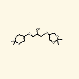 CC1(C)OCC(OCC(O)COC2COC(C)(C)OC2)CO1